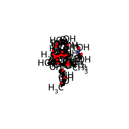 CN[C@H](CC(C)C)C(=O)N[C@H]1C(=O)N[C@@H](CC(N)=O)C(=O)N[C@H]2C(=O)N[C@H]3C(=O)N[C@H](C(=O)N[C@@H](C(=O)O)c4cc(O)cc(O)c4-c4cc3ccc4O)[C@H](O)c3ccc(c(Cl)c3)Oc3cc2cc(c3O[C@@H]2O[C@H](CO)[C@@H](O)[C@H](O)[C@H]2O[C@H]2C[C@](C)(N)C(O)[C@H](C)O2)Oc2ccc(cc2Cl)[C@H]1O.COc1cc(/C=C/C(=O)O)ccc1O.Cc1ccc(S(=O)(=O)NC(=O)NN2CCCCCC2)cc1